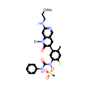 CCn1c(=O)c(-c2cc(N(OS(C)(=O)=O)C(=O)Nc3ccccc3)c(F)cc2C)cc2cnc(NCCOC)cc21